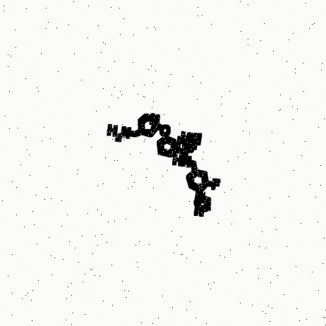 Cl.Cl.NCc1ccnc(Oc2cccc(C(=O)NCc3ccc(-n4ccnc4)c(F)c3)c2)c1